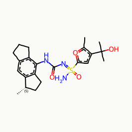 Cc1oc(S(N)(=O)=NC(=O)Nc2c3c(cc4c2CC[C@@H]4C)CCC3)cc1C(C)(C)O